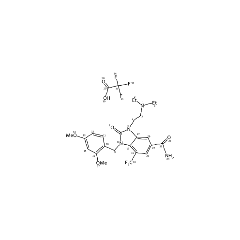 CCN(CC)CCn1c(=O)n(Cc2ccc(OC)cc2OC)c2c(C(F)(F)F)cc(C(N)=O)cc21.O=C(O)C(F)(F)F